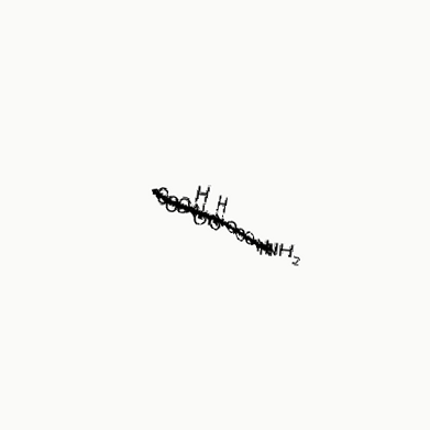 CCCOCCOCCOCCCNC(O)CCCC(=O)NCCCOCCOCCOCCCN=NN